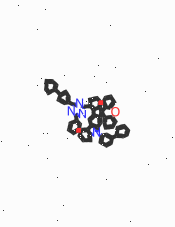 c1ccc(-c2ccc(-c3nc(-c4ccccc4)nc(-c4cccc5c4-c4cc6c7ccccc7n(-c7cccc(-c8ccccc8)c7)c6cc4C54c5ccccc5Oc5ccccc54)n3)cc2)cc1